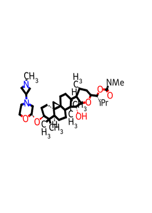 CNC(=O)O[C@H](C(C)C)C1C[C@@H](C)[C@H]2C(O1)[C@H](O)[C@@]1(C)C3CC[C@H]4C(C)(C)[C@@H](O[C@H]5CN(C6CN(C)C6)CCO5)CC[C@@]45C[C@@]35CC[C@]21C